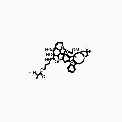 CCC1(O)CC2C[N@](CCc3c([nH]c4ccccc34)[C@@](C(=O)OC)(c3cc4c(cc3OC)N(C)C3C45CCN4CC=C[C@](CC)(C45)[C@@H](O)[C@]3(O)C(=O)NCCCOC(=O)C(C)N)C2)C1